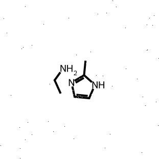 CCN.Cc1ncc[nH]1